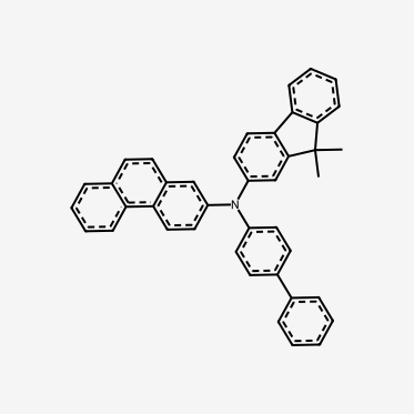 CC1(C)c2ccccc2-c2ccc(N(c3ccc(-c4ccccc4)cc3)c3ccc4c(ccc5ccccc54)c3)cc21